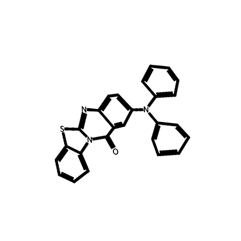 O=c1c2cc(N(c3ccccc3)c3ccccc3)ccc2nc2sc3ccccc3n12